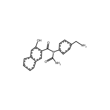 NCc1ccc(N(C(N)=O)C(=O)c2cc3ccccc3cc2O)cc1